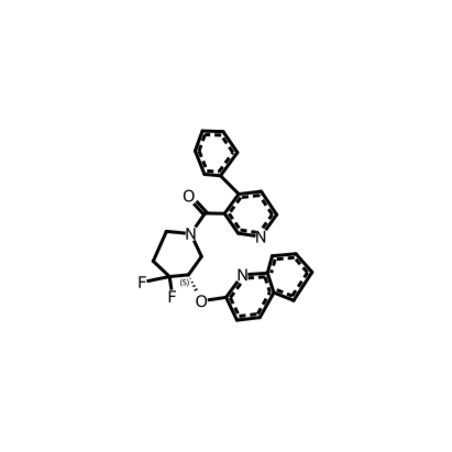 O=C(c1cnccc1-c1ccccc1)N1CCC(F)(F)[C@@H](Oc2ccc3ccccc3n2)C1